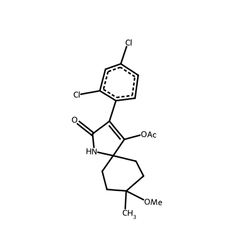 COC1(C)CCC2(CC1)NC(=O)C(c1ccc(Cl)cc1Cl)=C2OC(C)=O